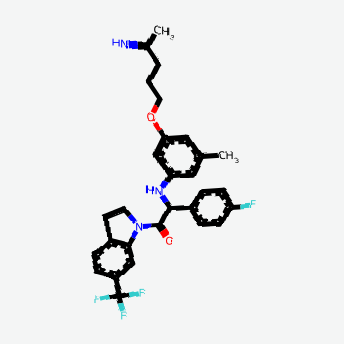 CC(=N)CCCOc1cc(C)cc(NC(C(=O)N2CCc3ccc(C(F)(F)F)cc32)c2ccc(F)cc2)c1